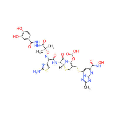 Cc1nc2nc(C(=O)NO)cc(SCC3=C(OC(=O)O)N4C(=O)[C@@H](NC(=O)/C(=N\OC(C)(C)C(=O)NNC(=O)c5ccc(O)c(O)c5)c5csc(N)n5)[C@H]4SC3)n2n1